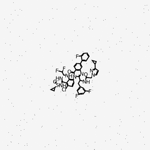 N=C(N[S+]([O-])C1CC1)c1c(Cl)ccc(-n2c(C(Cc3cc(F)cc(F)c3)NC(=O)Cn3ccc(C4CC4)n3)nc3cc(-c4ccccc4F)ccc3c2=O)c1NCC(F)F